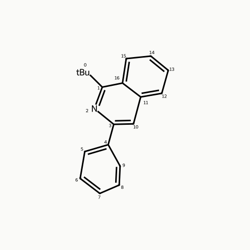 CC(C)(C)c1nc(-c2ccccc2)cc2ccccc12